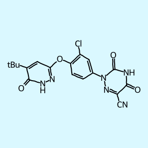 CC(C)(C)c1cc(Oc2ccc(-n3nc(C#N)c(=O)[nH]c3=O)cc2Cl)n[nH]c1=O